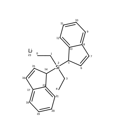 CC[Si](CC)(C1C=Cc2ccccc21)C1C=Cc2ccccc21.[Li]